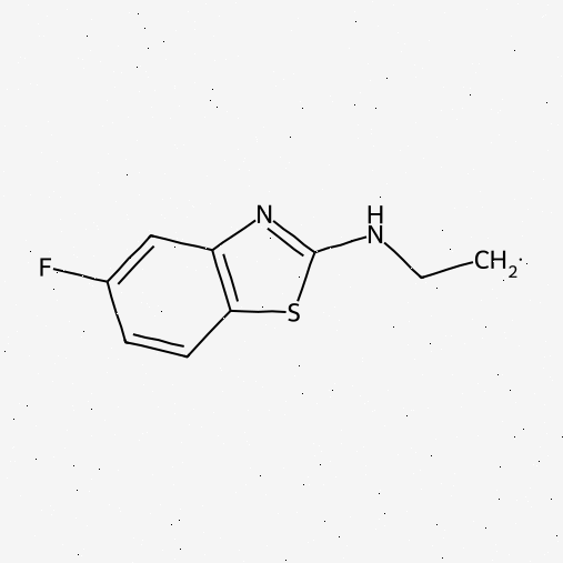 [CH2]CNc1nc2cc(F)ccc2s1